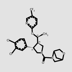 C[C@H](Oc1ccc(C(F)(F)F)cn1)[C@H]1CN(C(=O)N2CC3CC2CO3)C[C@@H]1c1ccc(Cl)c(Cl)c1